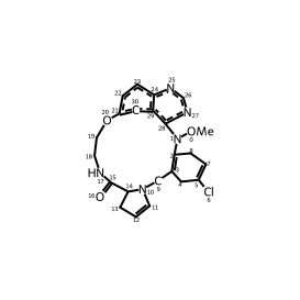 CON1C2=C(CC(Cl)=CC2)CN2C=CCC2C(=O)NCCOc2ccc3ncnc1c3c2